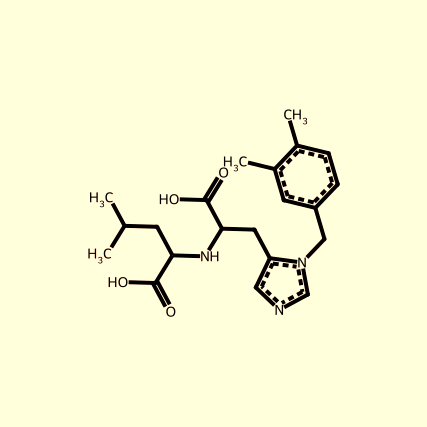 Cc1ccc(Cn2cncc2CC(NC(CC(C)C)C(=O)O)C(=O)O)cc1C